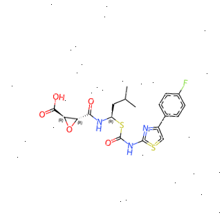 CC(C)C[C@H](NC(=O)[C@@H]1O[C@H]1C(=O)O)SC(=O)Nc1nc(-c2ccc(F)cc2)cs1